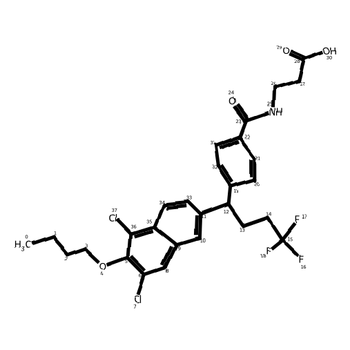 CCCCOc1c(Cl)cc2cc(C(CCC(F)(F)F)c3ccc(C(=O)NCCC(=O)O)cc3)ccc2c1Cl